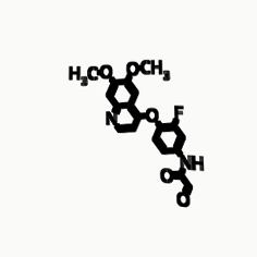 COc1cc2nccc(Oc3ccc(NC(=O)C=O)cc3F)c2cc1OC